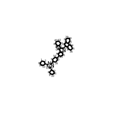 c1ccc(-c2nc(-c3ccccc3)nc(-c3ccc(-c4ccc5nc(-c6cc7ccccc7c7ccccc67)c6c7ccccc7sc6c5c4)cc3)n2)cc1